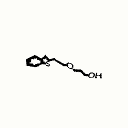 OCCCOCCc1cc2ccccc2s1